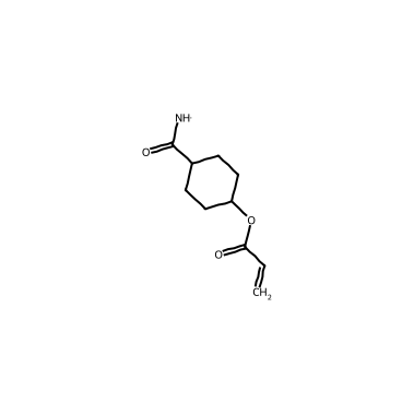 C=CC(=O)OC1CCC(C([NH])=O)CC1